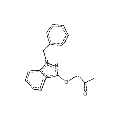 CC(=O)COc1nn(Cc2ccccc2)c2ccccc12